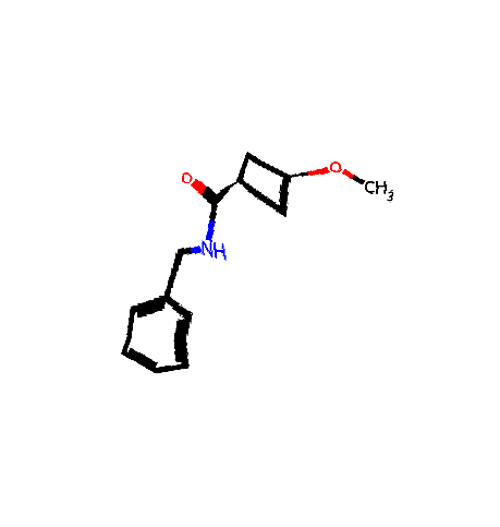 CO[C@H]1C[C@@H](C(=O)NCc2ccccc2)C1